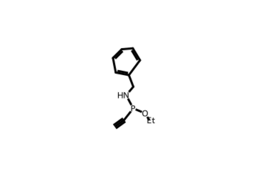 C#CP(NCc1ccccc1)OCC